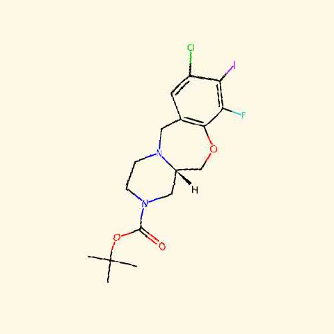 CC(C)(C)OC(=O)N1CCN2Cc3cc(Cl)c(I)c(F)c3OC[C@@H]2C1